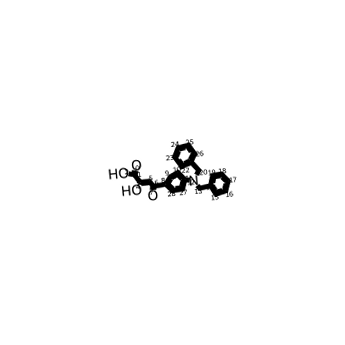 O=C(O)/C(O)=C/C(=O)c1ccc(N(Cc2ccccc2)Cc2ccccc2)cc1